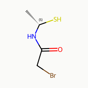 C[C@H](S)NC(=O)CBr